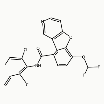 C=C/C(Cl)=C(NC(=O)c1ccc(OC(F)F)c2oc3ccncc3c12)\C(Cl)=C/C